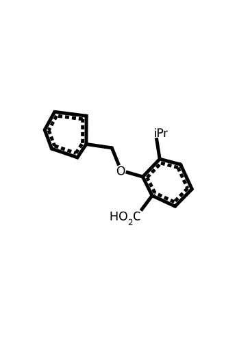 CC(C)c1cccc(C(=O)O)c1OCc1ccccc1